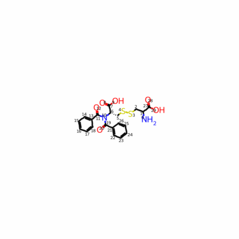 NC(CSSC[C@@H](C(=O)O)N(C(=O)c1ccccc1)C(=O)c1ccccc1)C(=O)O